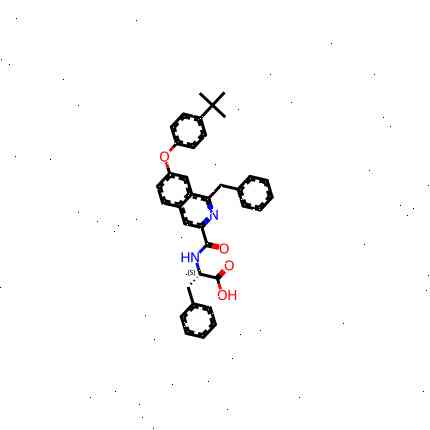 CC(C)(C)c1ccc(Oc2ccc3cc(C(=O)N[C@@H](Cc4ccccc4)C(=O)O)nc(Cc4ccccc4)c3c2)cc1